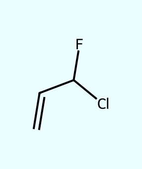 C=CC(F)Cl